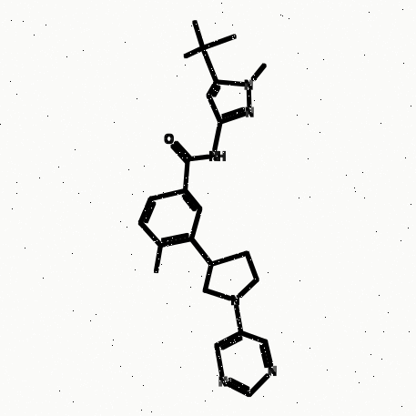 Cc1ccc(C(=O)Nc2cc(C(C)(C)C)n(C)n2)cc1C1CCN(c2cncnc2)C1